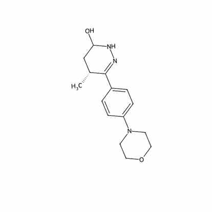 C[C@@H]1CC(O)NN=C1c1ccc(N2CCOCC2)cc1